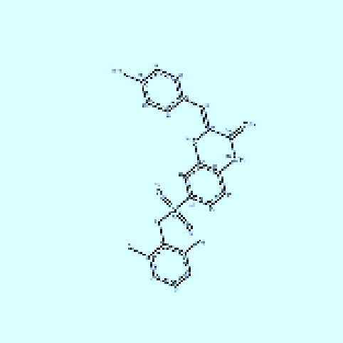 Cc1cccc(C)c1CS(=O)(=O)c1ccc2c(c1)SC(=Cc1ccc(F)cc1)C(=O)N2